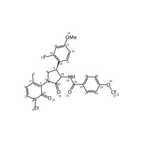 CCn1ccc(C)c(N2C[C@@H](c3ccc(OC)cc3F)C(NC(=O)c3ccc(OC(F)(F)F)cc3)C2=O)c1=O